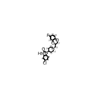 O=c1[nH]c2cc(Cl)ccc2n1C1CCN(CC2COc3ccc(F)cc3O2)CC1